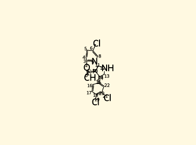 C[C@H](Oc1ccc(Cl)cn1)[C@H]1CNC[C@@H]1c1ccc(Cl)c(Cl)c1